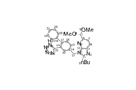 CCCCc1nc2ccc(C(OC)OC)nc2n1Cc1ccc(-c2ccccc2)c(-c2nnn[nH]2)c1